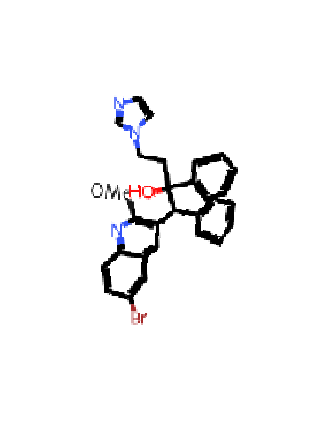 COc1nc2ccc(Br)cc2cc1C(c1ccccc1)C(O)(CCn1ccnc1)c1ccccc1